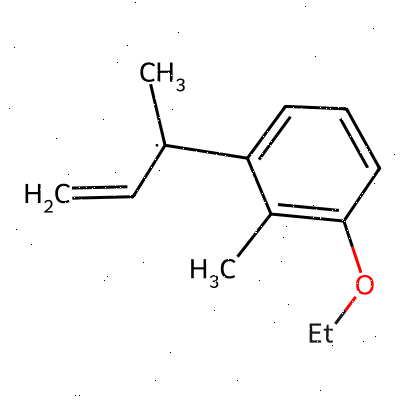 C=C[C](C)c1cccc(OCC)c1C